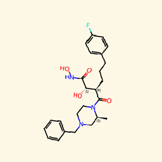 C[C@H]1CN(Cc2ccccc2)CCN1C(=O)[C@H](CCCc1ccc(F)cc1)[C@H](O)C(=O)NO